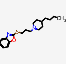 CCCCC1CCN(CCCSc2nc3ccccc3o2)CC1